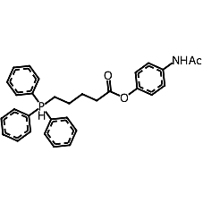 CC(=O)Nc1ccc(OC(=O)CCCC[PH](c2ccccc2)(c2ccccc2)c2ccccc2)cc1